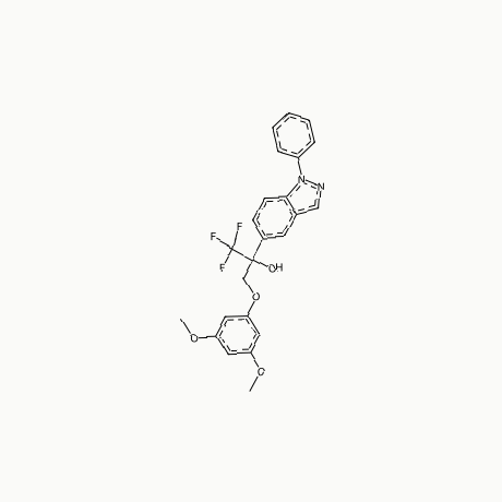 COc1cc(OC)cc(OCC(O)(c2ccc3c(cnn3-c3ccccc3)c2)C(F)(F)F)c1